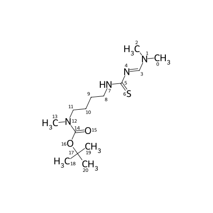 CN(C)/C=N/C(=S)NCCCCN(C)C(=O)OC(C)(C)C